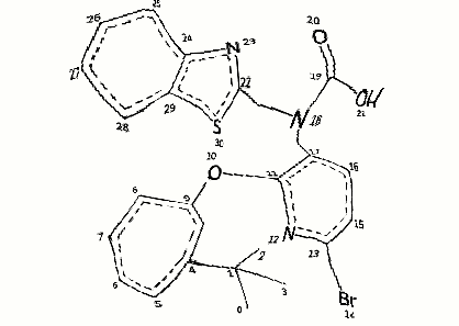 CC(C)(C)c1ccccc1Oc1nc(Br)ccc1N(C(=O)O)c1nc2ccccc2s1